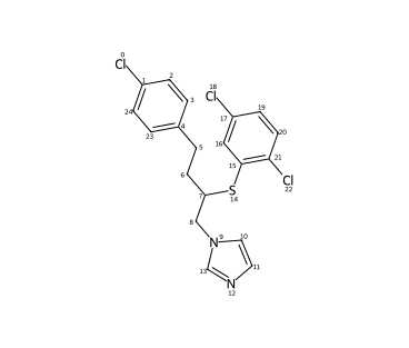 Clc1ccc(CCC(Cn2ccnc2)Sc2cc(Cl)ccc2Cl)cc1